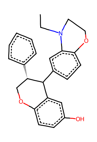 CCN1CCOc2ccc(C3c4cc(O)ccc4OC[C@@H]3c3ccccc3)cc21